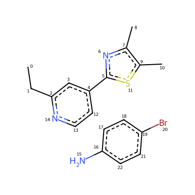 CCc1cc(-c2nc(C)c(C)s2)ccn1.Nc1ccc(Br)cc1